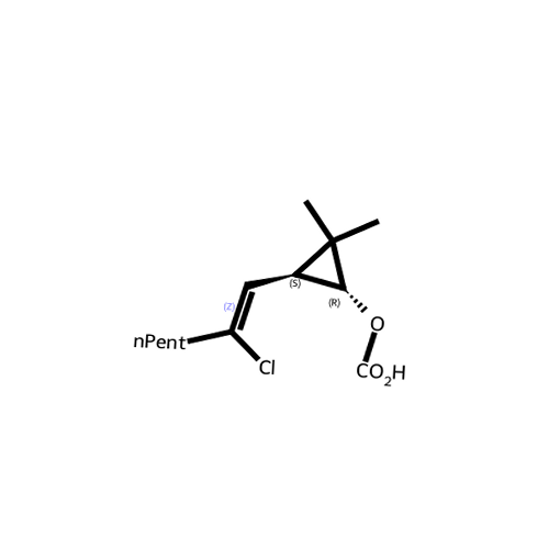 CCCCC/C(Cl)=C/[C@@H]1[C@@H](OC(=O)O)C1(C)C